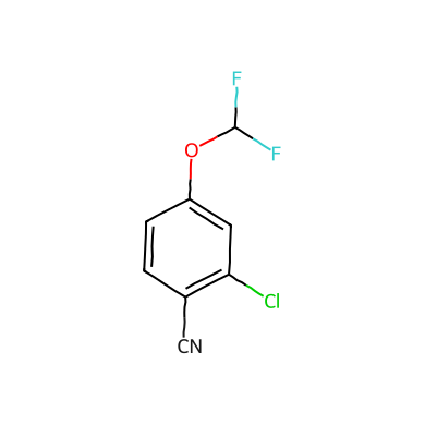 N#Cc1ccc(OC(F)F)cc1Cl